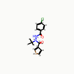 CC(C)(C)N(NC(=O)c1ccc(Cl)cc1)C(=O)c1ccsc1